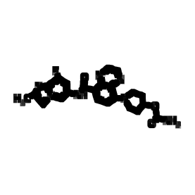 Cc1cn2cc(NC(=O)c3ccc(N4CCC(OC(N)=O)CC4)c4nccnc34)cc(F)c2n1